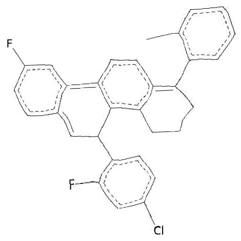 Cc1ccccc1C1=c2ccc3c(c2CCC1)C(c1ccc(Cl)cc1F)C=c1ccc(F)cc1=3